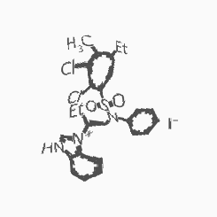 CCC(=CN(c1ccccc1)S(=O)(=O)c1cc(CC)c(C)c(Cl)c1Cl)[n+]1c[nH]c2ccccc21.[I-]